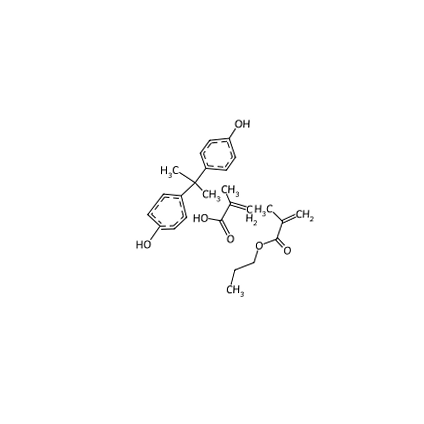 C=C(C)C(=O)O.C=C(C)C(=O)OCCC.CC(C)(c1ccc(O)cc1)c1ccc(O)cc1